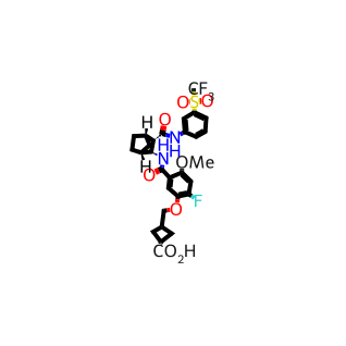 COc1cc(F)c(OCC2CC(C(=O)O)C2)cc1C(=O)N[C@@H]1[C@@H]2CC[C@@H](C2)[C@@H]1C(=O)Nc1cccc(S(=O)(=O)C(F)(F)F)c1